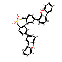 O=S1(=O)Cc2ccc(-c3ccc4oc5ccccc5c4c3)cc2-c2cc(-c3cccc4c3oc3ccccc34)ccc2C1